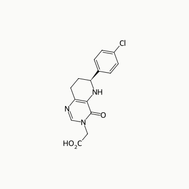 O=C(O)Cn1cnc2c(c1=O)N[C@H](c1ccc(Cl)cc1)CC2